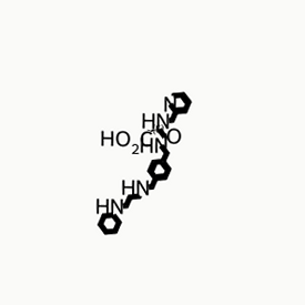 O=C(O)C[C@H](NCc1ccccn1)C(=O)NCc1ccc(CNCCCNC2CCCCC2)cc1